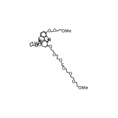 COCCOCCOCCOCCOCCOCCO[C@H]1CC[C@@]2(O)[C@H]3Cc4ccc(OCOCCOC)c5c4[C@@]2(CCN3CC2CCC2)[C@H]1O5